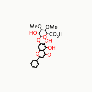 COC1C(C(=O)O)OC(Oc2cc3oc(-c4ccccc4)cc(=O)c3c(O)c2O)C(O)C1OC